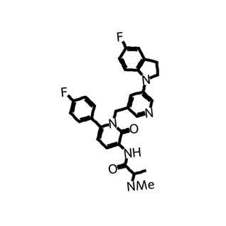 CNC(C)C(=O)Nc1ccc(-c2ccc(F)cc2)n(Cc2cncc(N3CCc4cc(F)ccc43)c2)c1=O